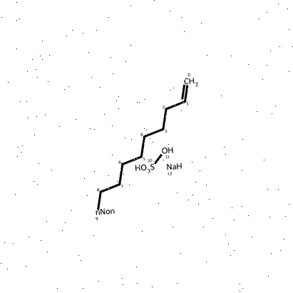 C=CCCCCCCCCCCCCCCCC.O=S(=O)(O)O.[NaH]